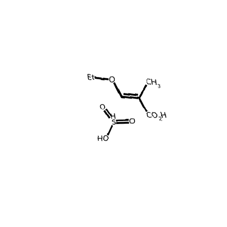 CCOC=C(C)C(=O)O.O=[SH](=O)O